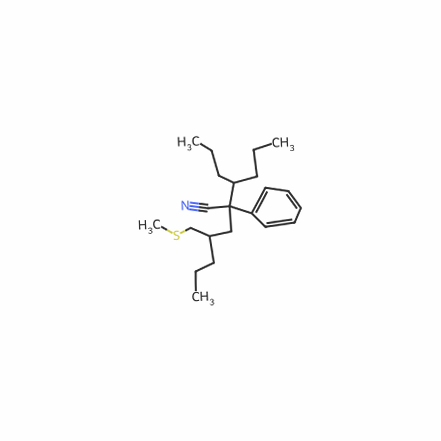 CCCC(CSC)CC(C#N)(c1ccccc1)C(CCC)CCC